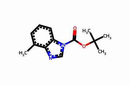 [CH2]c1cccc2c1ncn2C(=O)OC(C)(C)C